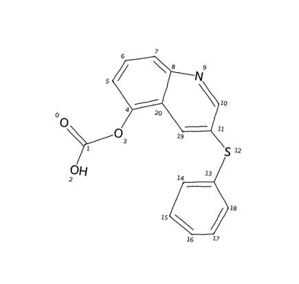 O=C(O)Oc1cccc2ncc(Sc3ccccc3)cc12